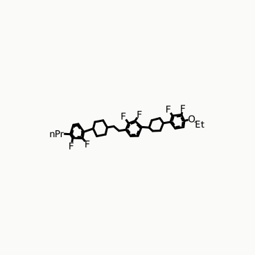 CCCc1ccc(C2CCC(CCc3ccc(C4CCC(c5ccc(OCC)c(F)c5F)CC4)c(F)c3F)CC2)c(F)c1F